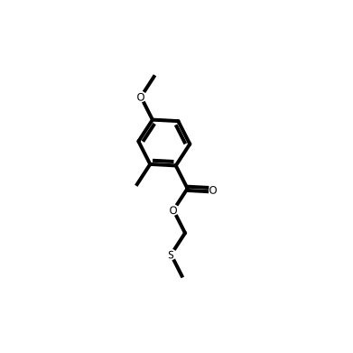 COc1ccc(C(=O)OCSC)c(C)c1